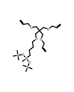 C=CCOCC(COCC=C)(COCC=C)COCCCC[Si](C)(O[Si](C)(C)C)O[Si](C)(C)C